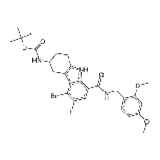 COc1ccc(CNC(=O)c2cc(F)c(Br)c3c4c([nH]c23)CCC(NC(=O)OC(C)(C)C)C4)c(OC)c1